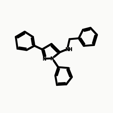 [c]1ccccc1-n1nc(-c2ccccc2)cc1NCc1ccccc1